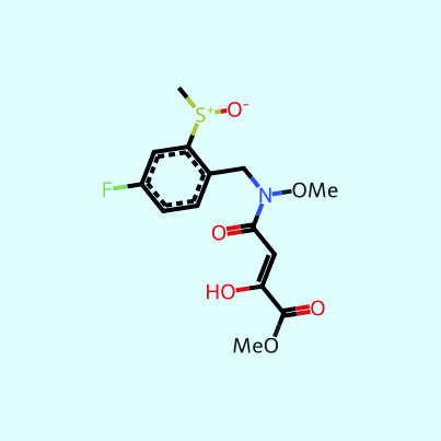 COC(=O)C(O)=CC(=O)N(Cc1ccc(F)cc1[S+](C)[O-])OC